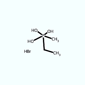 Br.CCP(C)(O)(O)O